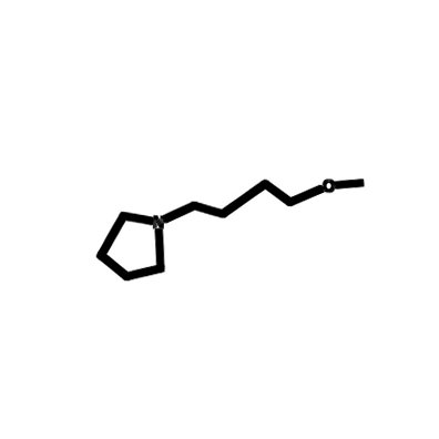 COCCCCN1CCCC1